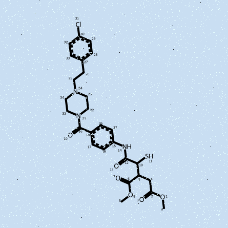 COC(=O)CC(C(=O)OC)C(S)C(=O)Nc1ccc(C(=O)N2CCN(CCc3ccc(Cl)cc3)CC2)cc1